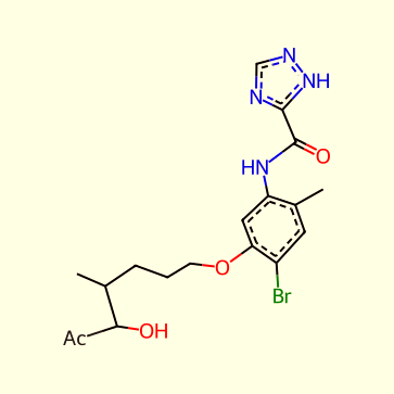 CC(=O)C(O)C(C)CCCOc1cc(NC(=O)c2ncn[nH]2)c(C)cc1Br